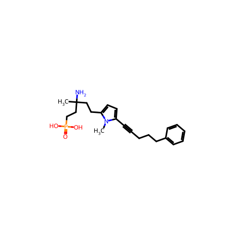 Cn1c(C#CCCCc2ccccc2)ccc1CCC(C)(N)CCP(=O)(O)O